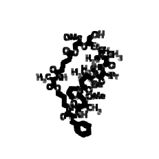 CCC(CO)OC(COC(=O)CCCC(=O)N[C@@H](C)C(=O)OCCCNC(=O)[C@H](Cc1ccccc1)NC(=O)[C@H](C)[C@@H](OC)[C@@H]1CCCN1C(=O)C[C@@H](C)[C@H]([C@@H](C)CC)N(C)C(=O)[C@@H](NC(=O)[C@H](C)N(C)C)C(C)C)OC